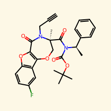 C#CCN1C(=O)c2oc3ccc(F)cc3c2OC[C@]1(C)C(=O)N(C(=O)OC(C)(C)C)[C@H](C)c1ccccc1